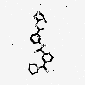 CC(Sc1nncn1C)c1cccc(NC(=O)c2cc(C(=O)N3CCCCC3)ccn2)c1